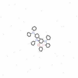 c1ccc(N(c2ccccc2)c2ccc3c4cc5c6c(c4n(-c4ccccc4)c3c2)Oc2ccccc2B6c2ccccc2N5c2ccccc2)cc1